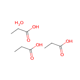 CCC(=O)O.CCC(=O)O.CCC(=O)O.O